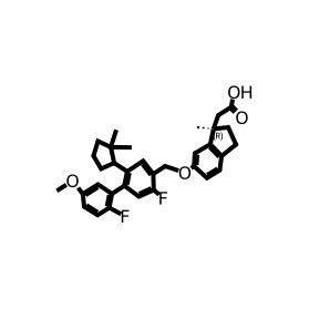 COc1ccc(F)c(-c2cc(F)c(COc3ccc4c(c3)[C@@](C)(CC(=O)O)CC4)cc2C2CCCC2(C)C)c1